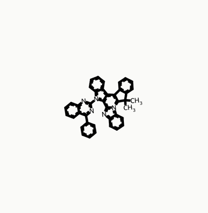 CC1(C)c2ccccc2-c2c1n1c3ccccc3nc1c1c2c2ccccc2n1-c1nc(-c2ccccc2)c2ccccc2n1